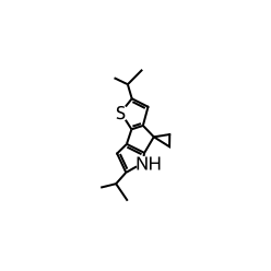 CC(C)c1cc2c([nH]1)C1(CC1)c1cc(C(C)C)sc1-2